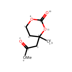 COC(=O)CC1(C(F)(F)F)CCOC(=O)O1